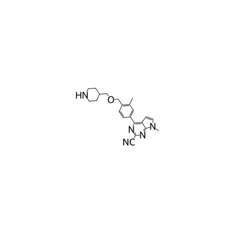 Cc1cc(-c2nc(C#N)nc3c2ccn3C)ccc1COCC1CCNCC1